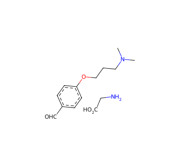 CN(C)CCCOc1ccc(C=O)cc1.NCC(=O)O